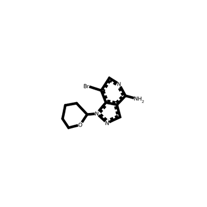 Nc1ncc(Br)c2c1cnn2C1CCCCO1